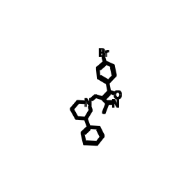 Cc1noc(-c2ccc(Br)cc2)c1CN1CCCC(c2ccccc2)C1